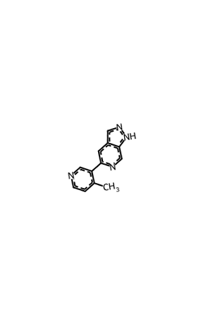 Cc1ccncc1-c1cc2cn[nH]c2cn1